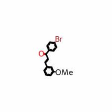 COc1cccc(C=CC(=O)c2ccc(Br)cc2)c1